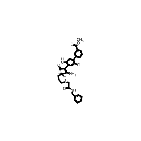 COC(=O)c1cccc(-c2cc(C)c(C3=C(N)C4(CCCN(CC(=O)NCc5ccccc5)C4)OC3=O)cc2Cl)c1